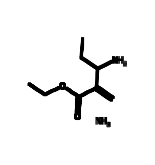 C=C(C(=O)OCC)C(N)CC.N